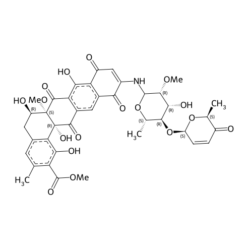 COC(=O)c1c(C)cc2c(c1O)[C@]1(O)C(=O)c3cc4c(c(O)c3C(=O)[C@]1(OC)[C@H](O)C2)C(=O)C=C(NC1O[C@@H](C)[C@H](O[C@@H]2C=CC(=O)[C@H](C)O2)[C@@H](O)[C@H]1OC)C4=O